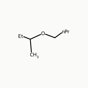 CCCCOC(C)CC